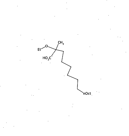 CCCCCCCCCCCCCCC(C)(OCC)C(=O)O